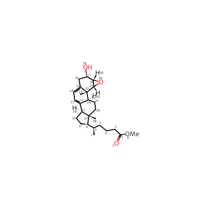 COC(=O)CCC[C@@H](C)[C@H]1CC[C@H]2C3=CC=C4C[C@@H](O)[C@@H]5O[C@@H]5[C@]4(C)[C@H]3CC[C@]12C